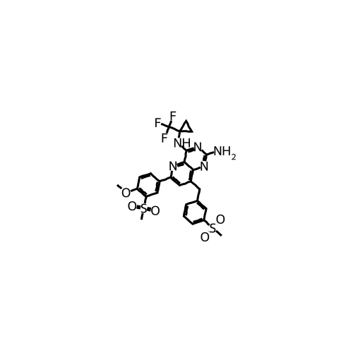 COc1ccc(-c2cc(Cc3cccc(S(C)(=O)=O)c3)c3nc(N)nc(NC4(C(F)(F)F)CC4)c3n2)cc1S(C)(=O)=O